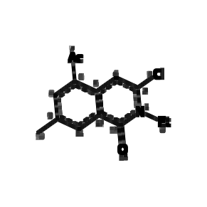 CCn1c(Cl)cc2c(C(C)=O)cc(C)cc2c1=O